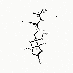 CCC1=C[C@@H]2[C@H](C1)C[C@]2(CNC(=O)O[C@@H](C)OC(C)=O)CC(=O)O